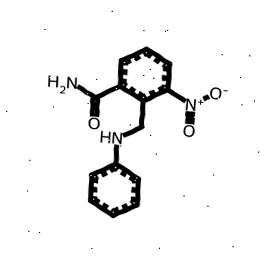 NC(=O)c1cccc([N+](=O)[O-])c1CNc1ccccc1